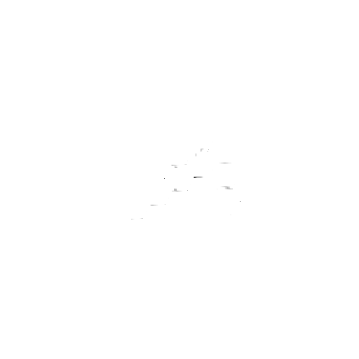 C=C(C)[C@@H]1CCC(CO)=C[C@H]1c1c(O)ccc(CCCC)c1O